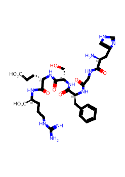 N=C(N)NCCC[C@H](NC(=O)[C@H](CCC(=O)O)NC(=O)[C@H](CO)NC(=O)[C@H](Cc1ccccc1)NC(=O)CNC(=O)[C@@H](N)Cc1c[nH]cn1)C(=O)O